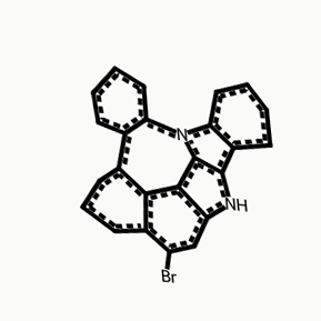 Brc1cc2[nH]c3c4ccccc4n4c5ccccc5c5cccc1c5c2c34